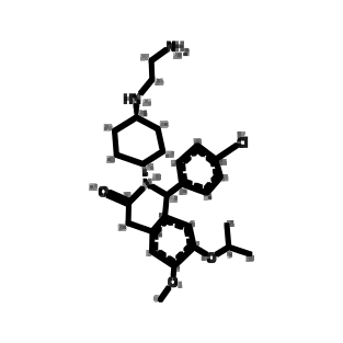 COc1cc2c(cc1OC(C)C)C(c1ccc(Cl)cc1)N([C@H]1CC[C@H](NCCN)CC1)C(=O)C2